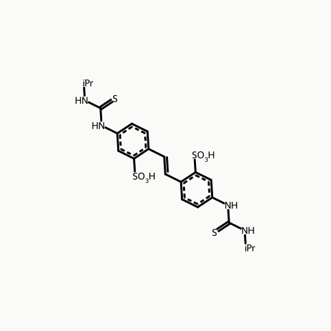 CC(C)NC(=S)Nc1ccc(C=Cc2ccc(NC(=S)NC(C)C)cc2S(=O)(=O)O)c(S(=O)(=O)O)c1